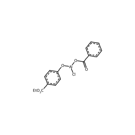 CCOC(=O)c1ccc([O][Al]([Cl])[O]C(=O)c2ccccc2)cc1